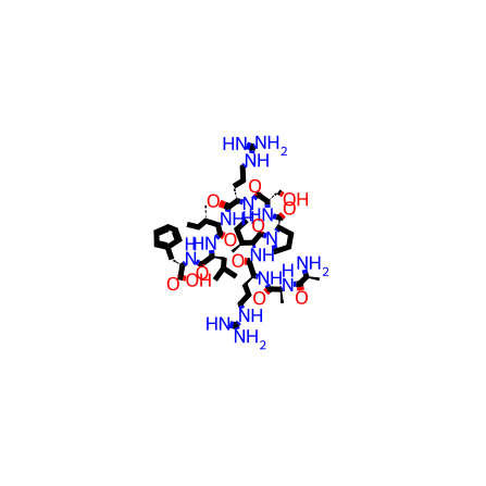 CC[C@H](C)[C@H](NC(=O)[C@H](CCCNC(=N)N)NC(=O)[C@H](CO)NC(=O)[C@@H]1CCCN1C(=O)[C@@H](NC(=O)[C@H](CCCNC(=N)N)NC(=O)[C@H](C)NC(=O)[C@H](C)N)[C@@H](C)CC)C(=O)N[C@@H](CC(C)C)C(=O)N[C@@H](Cc1ccccc1)C(=O)O